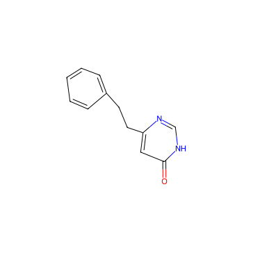 O=c1cc(CCc2ccccc2)nc[nH]1